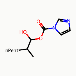 CCCCCC(C)C(O)OC(=O)n1ccnc1